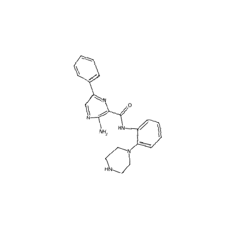 Nc1ncc(-c2ccccc2)nc1C(=O)Nc1ccccc1N1CCNCC1